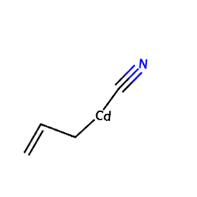 C=C[CH2][Cd][C]#N